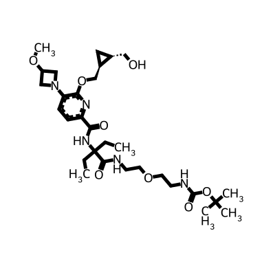 CCC(CC)(NC(=O)c1ccc(N2CC(OC)C2)c(OC[C@H]2C[C@@H]2CO)n1)C(=O)NCCOCCNC(=O)OC(C)(C)C